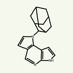 c1cc2c(ncc3ccn(C4C5CC6CC(C5)CC4C6)c32)[nH]1